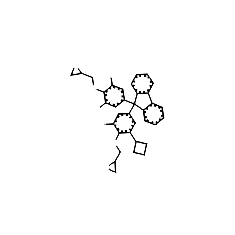 Oc1cc(C2(c3cc(O)c(OCC4CO4)c(C4CCC4)c3)c3ccccc3-c3ccccc32)cc(O)c1OCC1CO1